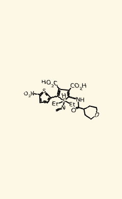 C=N[SH]1(CC)(CC)C(NC(=O)C2CCOCC2)=C(C(=O)O)C(C(=O)O)=C1c1ccc([N+](=O)[O-])s1